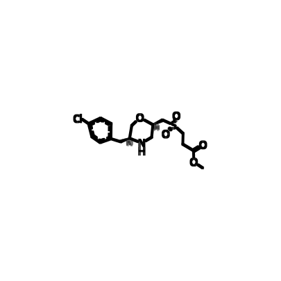 COC(=O)CCS(=O)(=O)C[C@H]1CN[C@@H](Cc2ccc(Cl)cc2)CO1